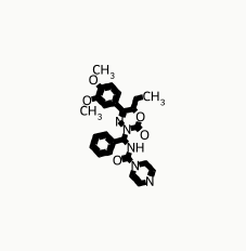 CCC1OC(=O)N(C(NC(=O)N2C=CN=CC2)c2ccccc2)N=C1c1ccc(OC)c(OC)c1